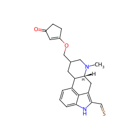 CN1CC(COC2=CC(=O)CC2)CC2c3cccc4[nH]c(C=S)c(c34)C[C@H]21